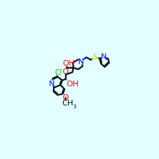 COc1ccc2ncc(Cl)c([C@@H](O)CCC3(C(=O)O)CCN(CCSc4ccccn4)CC3)c2c1